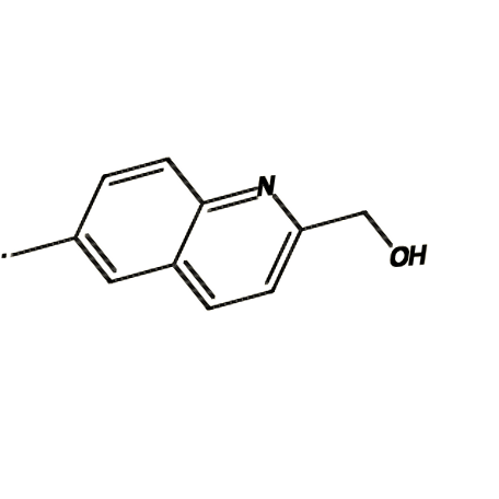 [CH2]c1ccc2nc(CO)ccc2c1